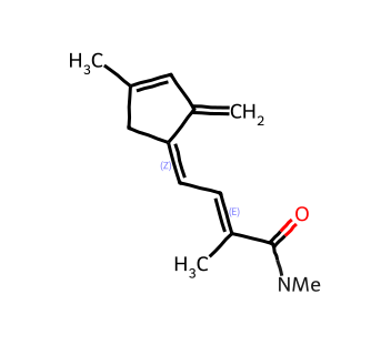 C=C1C=C(C)C/C1=C/C=C(\C)C(=O)NC